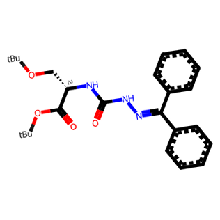 CC(C)(C)OC[C@H](NC(=O)NN=C(c1ccccc1)c1ccccc1)C(=O)OC(C)(C)C